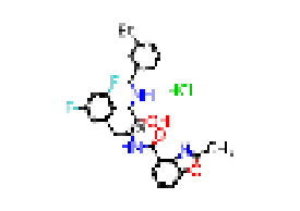 CCc1cccc(CNC[C@@H](O)[C@H](Cc2cc(F)cc(F)c2)NC(=O)c2cccc3oc(C)nc23)c1.Cl